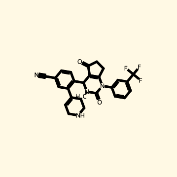 CN1C(=O)N(c2cccc(C(F)(F)F)c2)C2=C(C(=O)CC2)C1c1ccc(C#N)cc1C1=CCNCC1